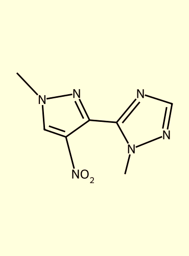 Cn1cc([N+](=O)[O-])c(-c2ncnn2C)n1